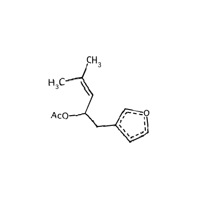 CC(=O)OC(C=C(C)C)Cc1ccoc1